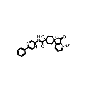 O=C1O[C@]2(CC[C@@](O)(C(=O)Nc3cnc(-c4ccccc4)cn3)CC2)c2ccc[n+]([O-])c21